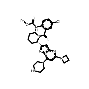 CC(C)OC(=O)Nc1ccc(Cl)cc1C(=O)N1CCCC[C@H]1c1cc2nc(N3CCC3)cc(N3CCNCC3)n2n1